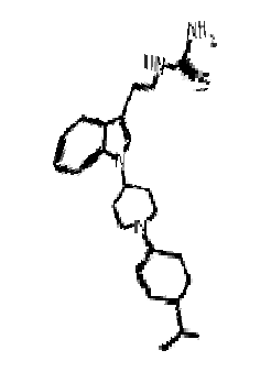 CC(C)C1CCC(N2CCC(n3cc(CCNC(N)=S)c4ccccc43)CC2)CC1